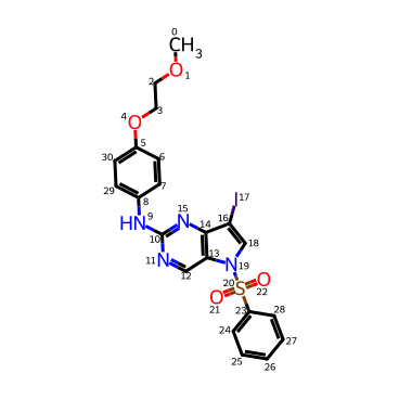 COCCOc1ccc(Nc2ncc3c(n2)c(I)cn3S(=O)(=O)c2ccccc2)cc1